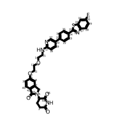 O=C1CCC(N2Cc3cc(OCCOCCNc4ccc(-c5ccc(-c6nc7ccc(F)cc7s6)cc5)cn4)ccc3C2=O)C(=O)N1